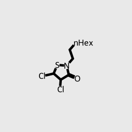 CCCCCCCCN1SC(Cl)C(Cl)C1=O